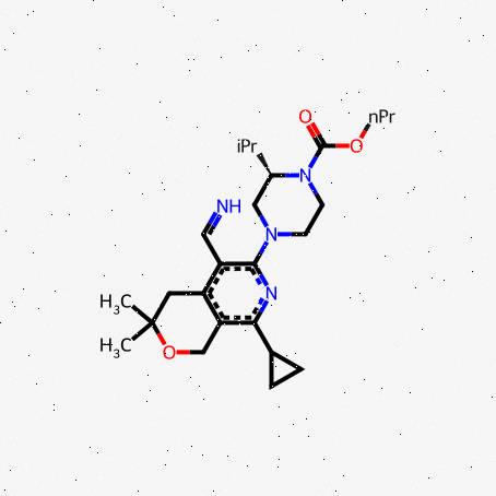 CCCOC(=O)N1CCN(c2nc(C3CC3)c3c(c2C=N)CC(C)(C)OC3)C[C@H]1C(C)C